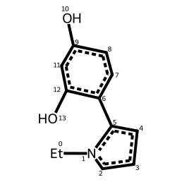 CCn1cccc1-c1ccc(O)cc1O